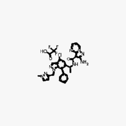 CC(NC(=O)c1c(N)nn2cccnc12)c1cc(Cl)c2cnn(Cc3ccn(C)n3)c2c1-c1ccccc1.O=C(O)C(F)(F)F